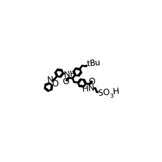 CC(C)(C)CCc1ccc(C(Cc2ccc(C(=O)NCCS(=O)(=O)O)cc2)C(=O)Nc2cccc(-c3nc4ccccc4o3)c2)cc1